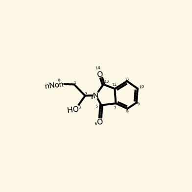 CCCCCCCCCCC(O)N1C(=O)c2ccccc2C1=O